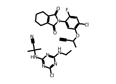 C#CC(C)Oc1cc(N2C(=O)C3=C(CCCC3)C2=O)c(F)cc1Cl.CCNc1nc(Cl)nc(NC(C)(C)C#N)n1